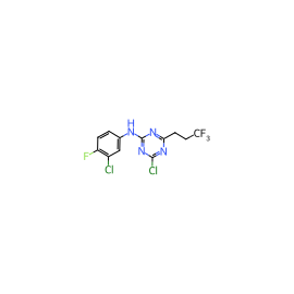 Fc1ccc(Nc2nc(Cl)nc(CCC(F)(F)F)n2)cc1Cl